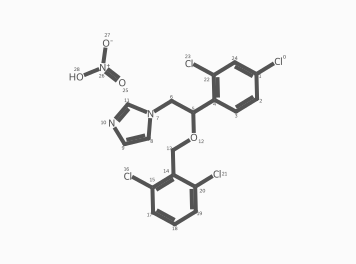 Clc1ccc(C(Cn2ccnc2)OCc2c(Cl)cccc2Cl)c(Cl)c1.O=[N+]([O-])O